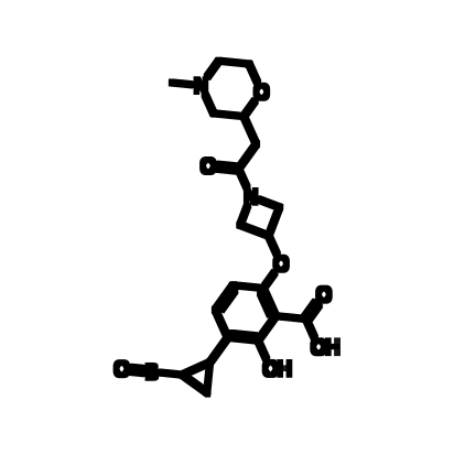 CN1CCOC(CC(=O)N2CC(Oc3ccc(C4CC4B=O)c(O)c3C(=O)O)C2)C1